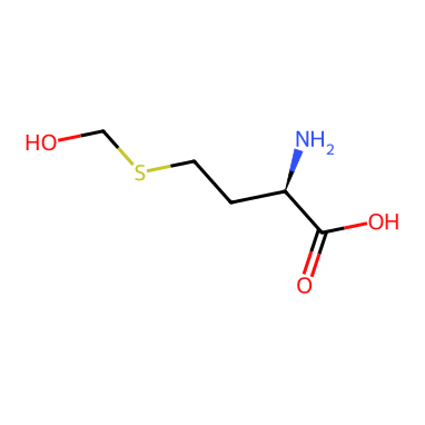 N[C@H](CCSCO)C(=O)O